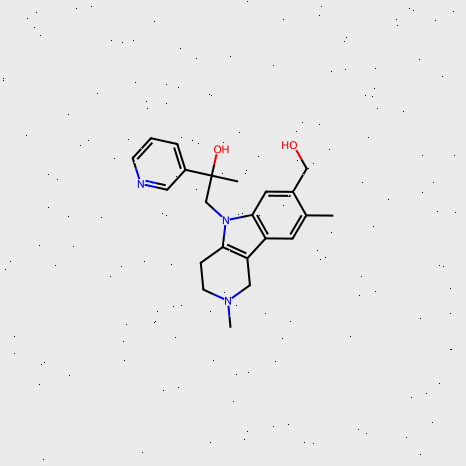 Cc1cc2c3c(n(CC(C)(O)c4cccnc4)c2cc1CO)CCN(C)C3